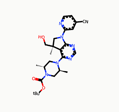 C[C@@H]1CN(c2ncnc3c2[C@@](C)(CO)CN3c2cc(C#N)ccn2)[C@@H](C)CN1C(=O)OC(C)(C)C